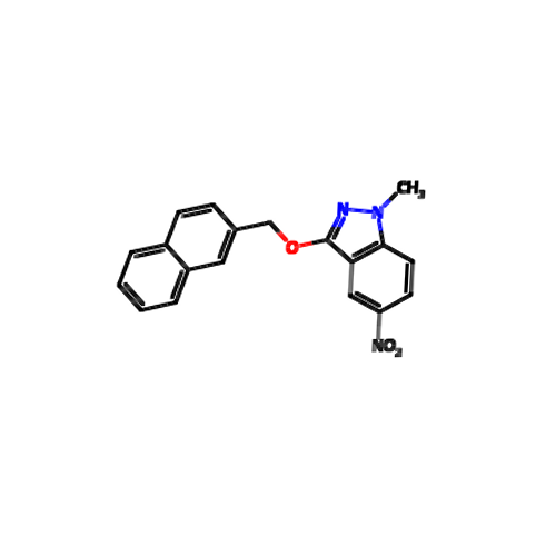 Cn1nc(OCc2ccc3ccccc3c2)c2cc([N+](=O)[O-])ccc21